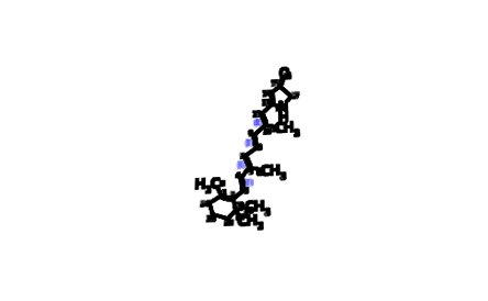 CC1=C(/C=C/C(C)=C/C=C/C(C)=C/C2=CC(=O)CN2)C(C)(C)CCC1